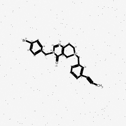 CC#Cc1cccc(CN2CCc3ncn(Cc4ccc(Br)cc4)c(=O)c3C2)c1